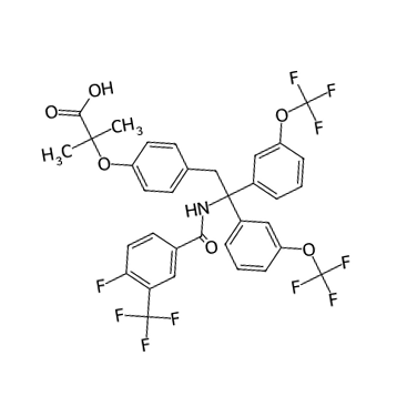 CC(C)(Oc1ccc(CC(NC(=O)c2ccc(F)c(C(F)(F)F)c2)(c2cccc(OC(F)(F)F)c2)c2cccc(OC(F)(F)F)c2)cc1)C(=O)O